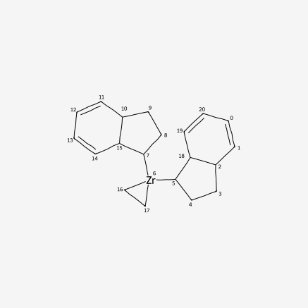 C1=CC2CC[CH]([Zr]3([CH]4CCC5C=CC=CC54)[CH2][CH2]3)C2C=C1